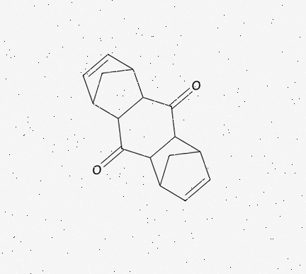 O=C1C2C3C=CC(C3)C2C(=O)C2C3C=CC(C3)C12